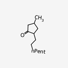 CCCCCCCC1CC(C)CC1=O